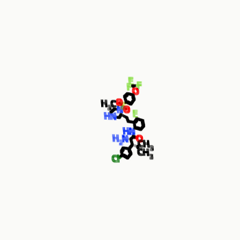 CC(C)[C@H](c1ccc(Cl)cc1)[C@H](N)C(=O)Nc1cccc(F)c1CC[C@H]1CNC[C@H](C)N1S(=O)(=O)c1ccc(OC(F)(F)F)cc1